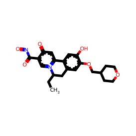 CCC1Cc2cc(OCC3CCOCC3)c(O)cc2-c2cc(=O)c(C(=O)N=O)cn21